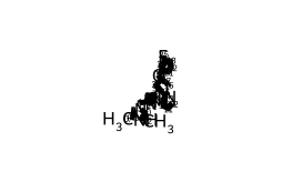 C[C@@H]1CN(Cc2ccn(-c3cccnc3N3CCC(Oc4cccc(F)c4)CC3)n2)C[C@H](C)N1